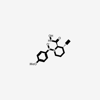 C#C[C@@H]1CCCN([S+]([O-])c2ccc(OC)cc2)[C@H]1C(=O)NO